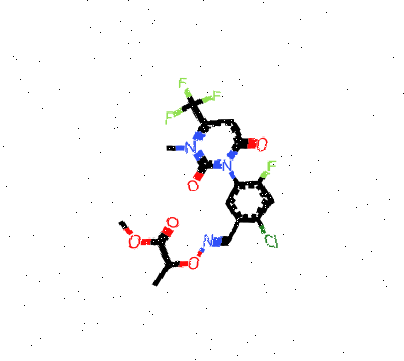 COC(=O)C(C)O/N=C/c1cc(-n2c(=O)cc(C(F)(F)F)n(C)c2=O)c(F)cc1Cl